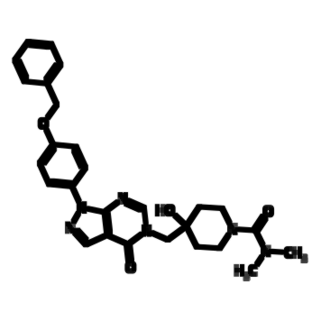 CN(C)C(=O)N1CCC(O)(Cn2cnc3c(cnn3-c3ccc(OCc4ccccc4)cc3)c2=O)CC1